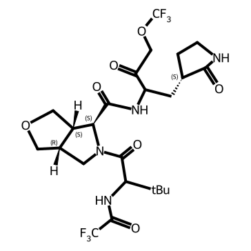 CC(C)(C)C(NC(=O)C(F)(F)F)C(=O)N1C[C@@H]2COC[C@@H]2[C@H]1C(=O)NC(C[C@@H]1CCNC1=O)C(=O)COC(F)(F)F